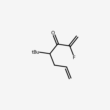 C=CCC(C(=O)C(=C)F)C(C)(C)C